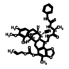 C=CCOC(=O)Oc1c(C)c2c(c3c1CC1[C@H]4N[C@H](Cc5cc(C)c(OC)c(O)c54)[C@H](C#N)N1[C@H]3CNC(=O)[C@H](C)NC(=S)Nc1ccccc1)OCO2